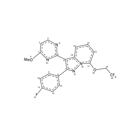 COc1ccnc(-c2c(-c3ccc(F)cc3)nn3c(OCC(F)(F)F)cccc23)n1